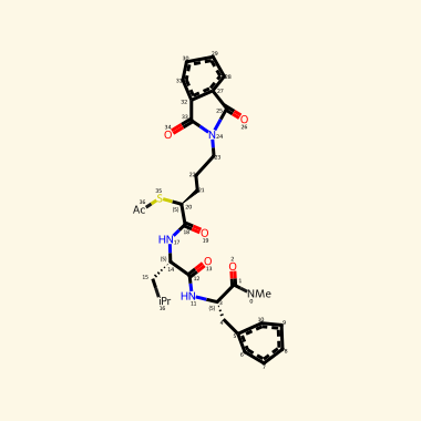 CNC(=O)[C@H](Cc1ccccc1)NC(=O)[C@H](CC(C)C)NC(=O)[C@H](CCCN1C(=O)c2ccccc2C1=O)SC(C)=O